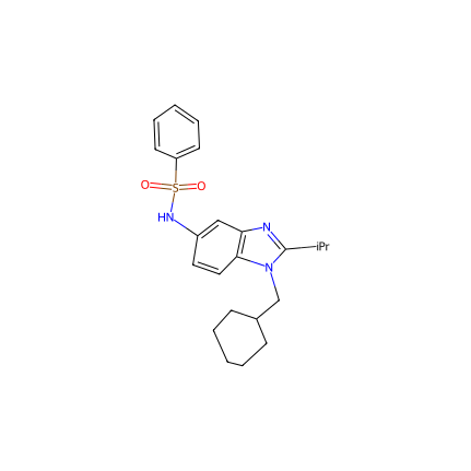 CC(C)c1nc2cc(NS(=O)(=O)c3ccccc3)ccc2n1CC1CCCCC1